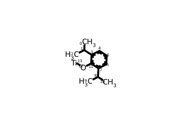 CC(C)c1cccc(C(C)C)c1[O][Ti]